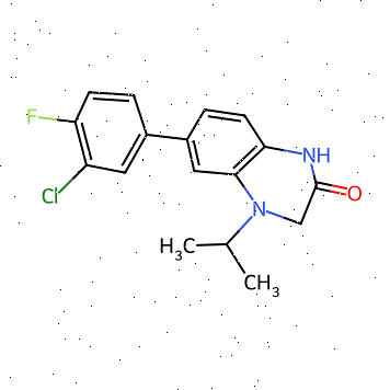 CC(C)N1CC(=O)Nc2ccc(-c3ccc(F)c(Cl)c3)cc21